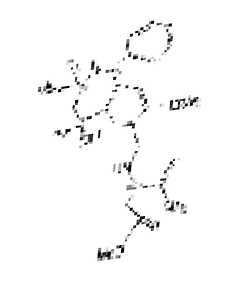 CCCC[C@]1(CC)CS(O)(O)c2cc(CN[C@@H](CC(=O)OC)C(=O)OC)c(OC)cc2[C@@H](c2ccccc2)N1